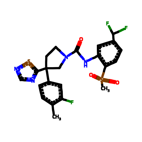 Cc1ccc(C2(c3ncns3)CCN(C(=O)Nc3cc(C(F)F)ccc3S(C)(=O)=O)C2)cc1F